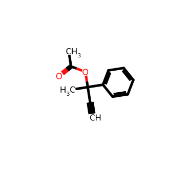 C#CC(C)(OC(C)=O)c1ccccc1